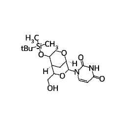 CC(C)(C)[Si](C)(C)OC1CO[C@@H]2C[C@H]1C(CO)OC2n1ccc(=O)[nH]c1=O